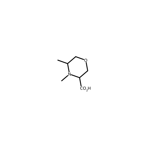 CC1COCC(C(=O)O)N1C